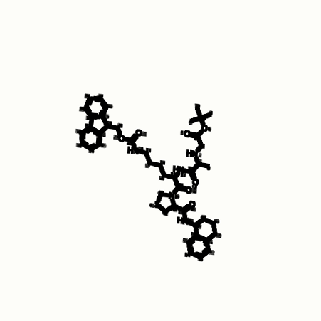 CC(NCC(=O)OC(C)(C)C)C(=O)NC(CCCCNC(=O)OCC1c2ccccc2-c2ccccc21)C(=O)N1CSCC1C(=O)NC1CCCc2ccccc21